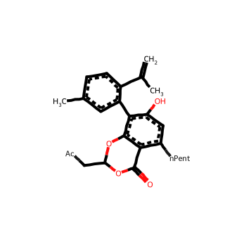 C=C(C)c1ccc(C)cc1-c1c(O)cc(CCCCC)c2c1OC(CC(C)=O)OC2=O